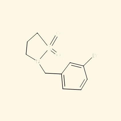 O=S1(=O)CCCN1Cc1cccc(Br)c1